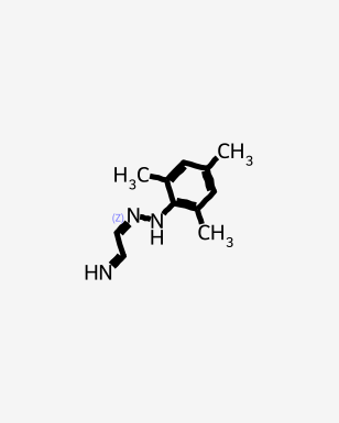 Cc1cc(C)c(N/N=C\C=N)c(C)c1